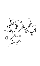 CC(c1cccc(F)c1Cl)C1CN(c2ccncc2F)CCN1C(N)=O